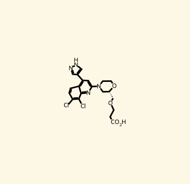 O=C(O)CCOC[C@@H]1CN(c2cc(-c3cn[nH]c3)c3ccc(Cl)c(Cl)c3n2)CCO1